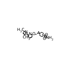 Cc1cc(C)n(-c2cccc(OC[C@H]3CC34CCN(S(N)(=O)=O)CC4)n2)n1